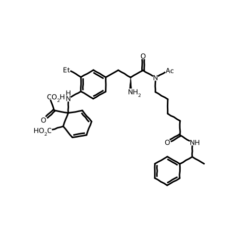 CCc1cc(C[C@H](N)C(=O)N(CCCCC(=O)NC(C)c2ccccc2)C(C)=O)ccc1NC1(C(=O)C(=O)O)C=CC=CC1C(=O)O